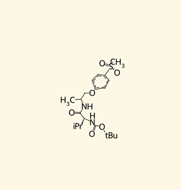 CC(COc1ccc(S(C)(=O)=O)cc1)NC(=O)[C@@H](NC(=O)OC(C)(C)C)C(C)C